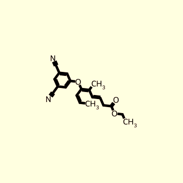 C\C=C/C(Oc1cc(C#N)cc(C#N)c1)=C(C)\C=C\CC(=O)OCC